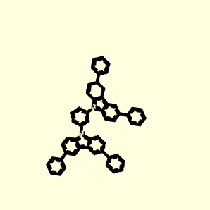 C1=CC(c2ccccc2)Cc2c1n(-c1cccc(-n3c4ccc(-c5ccccc5)cc4c4cc(-c5ccccc5)ccc43)c1)c1ccc(-c3ccccc3)cc21